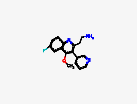 COc1c(-c2cccnc2)c(CCN)nc2ccc(F)cc12